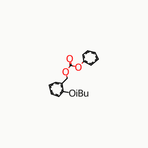 CC(C)COc1ccccc1COC(=O)Oc1ccccc1